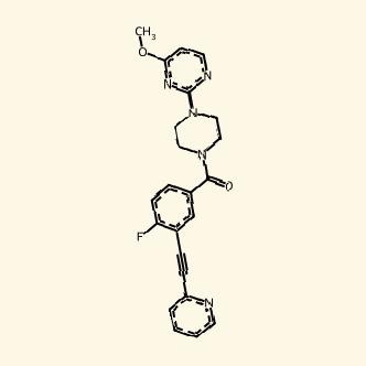 COc1ccnc(N2CCN(C(=O)c3ccc(F)c(C#Cc4ccccn4)c3)CC2)n1